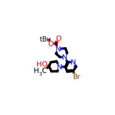 CC1(O)CCN(c2cc(Br)cnc2N2CCN(C(=O)OC(C)(C)C)CC2)CC1